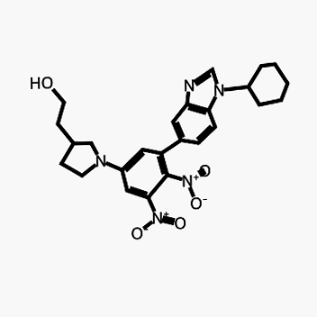 O=[N+]([O-])c1cc(N2CCC(CCO)C2)cc(-c2ccc3c(c2)ncn3C2CCCCC2)c1[N+](=O)[O-]